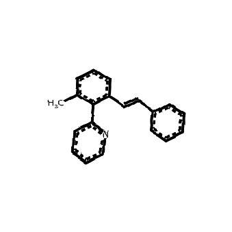 Cc1cccc(/C=C/c2ccccc2)c1-c1ccccn1